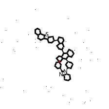 c1ccc(-c2nc3ccccc3n2-c2cccc(-c3c4ccccc4c(-c4ccc5c(-c6ccc7c(c6)sc6c8ccccc8ccc76)cccc5c4)c4ccccc34)c2)cc1